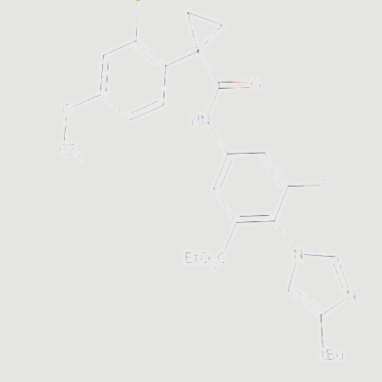 CCOC(=O)c1cc(NC(=O)C2(c3ccc(OC(F)(F)F)cc3F)CC2)cc(F)c1-n1cnc(C(C)(C)C)c1